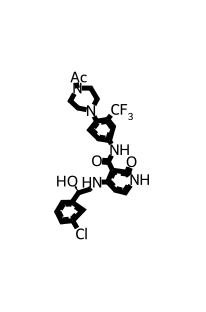 CC(=O)N1CCN(c2ccc(NC(=O)c3c(NC[C@@H](O)c4cccc(Cl)c4)cc[nH]c3=O)cc2C(F)(F)F)CC1